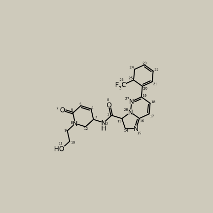 O=C(NC1C=CC(=O)N(CCO)C1)C1CN=C2C=CC(C3=CC=CCC3C(F)(F)F)=NN21